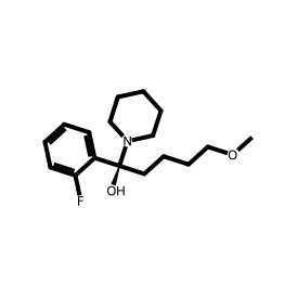 COCCCC[C@](O)(c1ccccc1F)N1CCCCC1